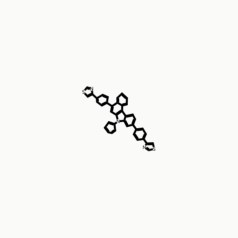 c1ccc(-n2c3cc(-c4ccc(-c5cscn5)cc4)ccc3c3c4ccccc4c(-c4ccc(-c5cscn5)cc4)cc32)cc1